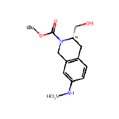 CC(C)(C)OC(=O)N1Cc2cc(NS(=O)(=O)O)ccc2C[C@H]1CO